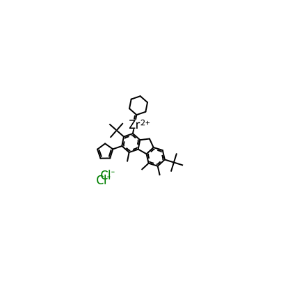 Cc1c(C(C)(C)C)cc2c(c1C)-c1c(C)c(C3=CC=CC3)c(C(C)(C)C)[c]([Zr+2]=[C]3CCCCC3)c1C2.[Cl-].[Cl-]